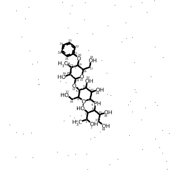 CC(O)C(O)C(PC1OC(CO)C(OC2OC(CO)C(Oc3ccccc3)C(C)C2O)C(O)C1O)C(O)CO